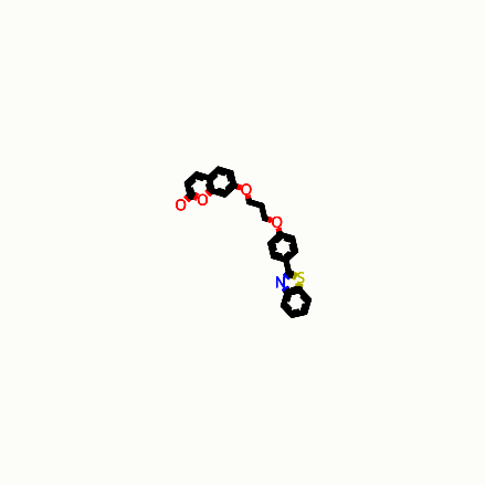 O=c1ccc2ccc(OCCCOc3ccc(-c4nc5ccccc5s4)cc3)cc2o1